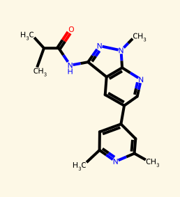 Cc1cc(-c2cnc3c(c2)c(NC(=O)C(C)C)nn3C)cc(C)n1